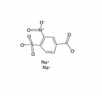 O=C([O-])c1ccc(S(=O)(=O)[O-])c([N+](=O)[O-])c1.[Na+].[Na+]